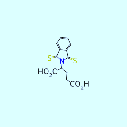 O=C(O)CCC(C(=O)O)N1C(=S)c2ccccc2C1=S